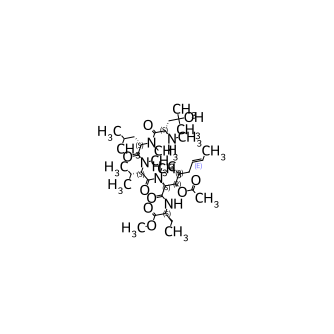 C/C=C/C[C@@H](C)[C@@H](OC(C)=O)[C@@H](C(=O)N[C@@H](CC)C(=O)OC)N(C)C(=O)[C@H](C(C)C)N(C)C(=O)[C@H](CC(C)C)N(C)C(=O)[C@H](CC(C)(C)O)NC